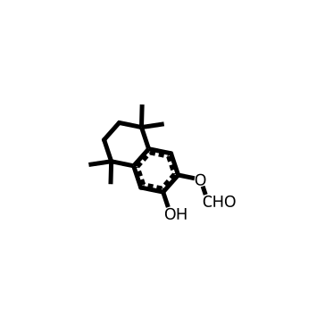 CC1(C)CCC(C)(C)c2cc(OC=O)c(O)cc21